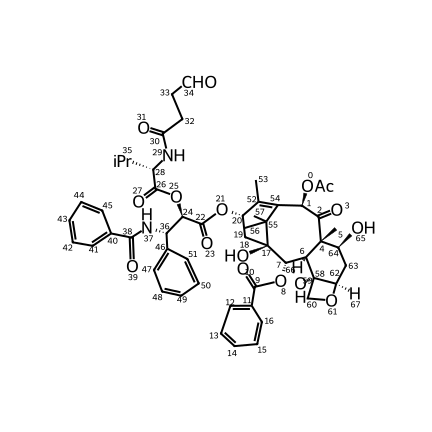 CC(=O)O[C@H]1C(=O)[C@@]2(C)[C@H]([C@H](OC(=O)c3ccccc3)[C@]3(O)C[C@H](OC(=O)[C@H](OC(=O)[C@@H](NC(=O)CCC=O)C(C)C)[C@@H](NC(=O)c4ccccc4)c4ccccc4)C(C)=C1C3(C)C)[C@]1(O)CO[C@@H]1C[C@@H]2O